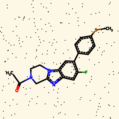 CSc1ccc(-c2cc3c(cc2F)nc2n3CCN(C(C)=O)C2)cc1